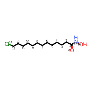 O=C(CCCCCCCCCCCCCl)NO